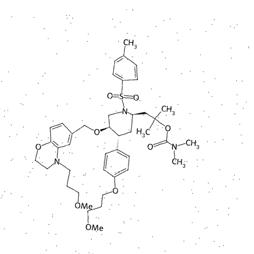 COCCCOc1ccc([C@H]2C[C@H](CC(C)(C)OC(=O)N(C)C)N(S(=O)(=O)c3ccc(C)cc3)C[C@@H]2OCc2ccc3c(c2)N(CCCOC)CCO3)cc1